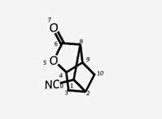 N#CC1C2CC3OC(=O)C1C3C2